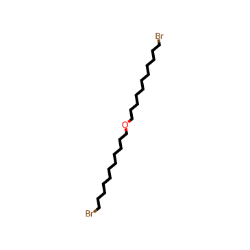 BrCCCCCCCCCCCOCCCCCCCCCCCBr